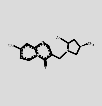 CC(=O)C1C[C@@H](C)CN1Cc1cnc2cc(C(C)(C)C)ccn2c1=O